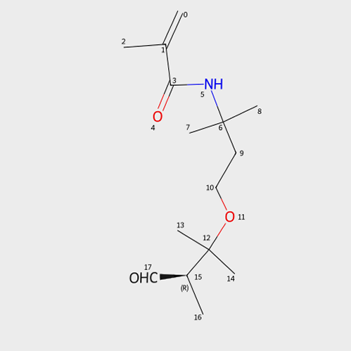 C=C(C)C(=O)NC(C)(C)CCOC(C)(C)[C@@H](C)C=O